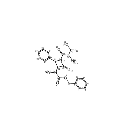 CCCN(C(=O)OCc1ccccc1)C1C(=O)N(C(=O)C(N)C(C)O)C1c1ccccc1